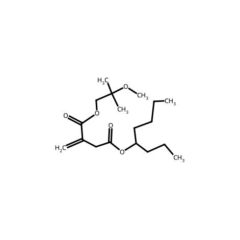 C=C(CC(=O)OC(CCC)CCCC)C(=O)OCC(C)(C)OC